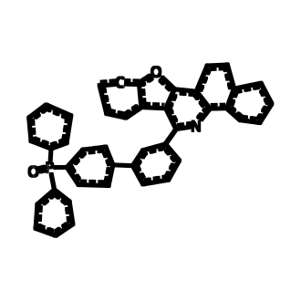 O=P(c1ccccc1)(c1ccccc1)c1ccc(-c2cccc(-c3nc4c5ccccc5ccc4c4oc5ccccc5c34)c2)cc1